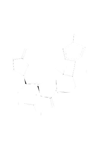 CC(C)[C@@H](NC(=O)[C@H]1CCC(=O)C1)C(=O)N1CC[C@](O)(c2ccc(Cl)cc2)C(C)(C)C1